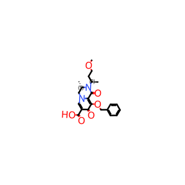 COCC[C@@H](C)N1C(=O)c2c(OCc3ccccc3)c(=O)c(C(=O)O)cn2C[C@@H]1C